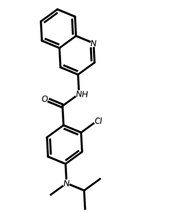 CC(C)N(C)c1ccc(C(=O)Nc2cnc3ccccc3c2)c(Cl)c1